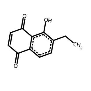 CCc1ccc2c(c1O)C(=O)C=CC2=O